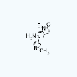 CCN1C(=O)CCc2cc(-c3ccnc(C)c3)c(N)cc21